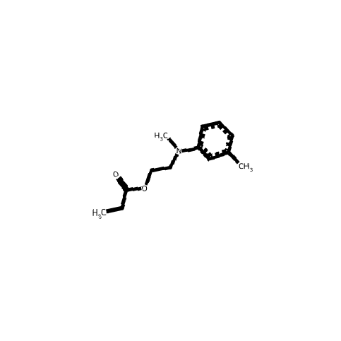 CCC(=O)OCCN(C)c1cccc(C)c1